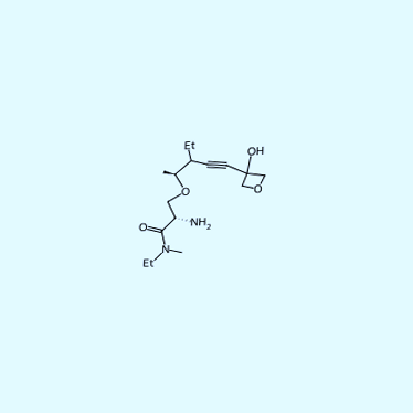 CCC(C#CC1(O)COC1)[C@H](C)OC[C@H](N)C(=O)N(C)CC